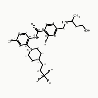 CC(CCO)NCc1ccc(C(=O)Nc2ccc(Cl)cc2N2CCN(CCC(F)(F)F)CC2)c(F)c1